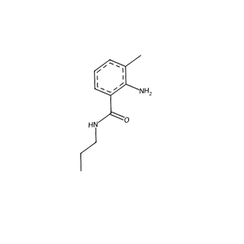 CCCNC(=O)c1cccc(C)c1N